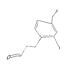 O=[C]CCc1ccc(I)cc1I